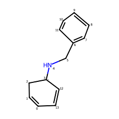 C1=CC[C](NCc2ccccc2)C=C1